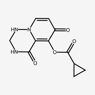 O=C1NCNn2ccc(=O)c(OC(=O)C3CC3)c21